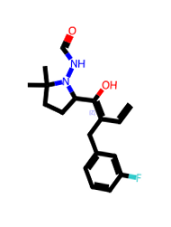 C=C/C(Cc1cccc(F)c1)=C(\O)C1CCC(C)(C)N1NC=O